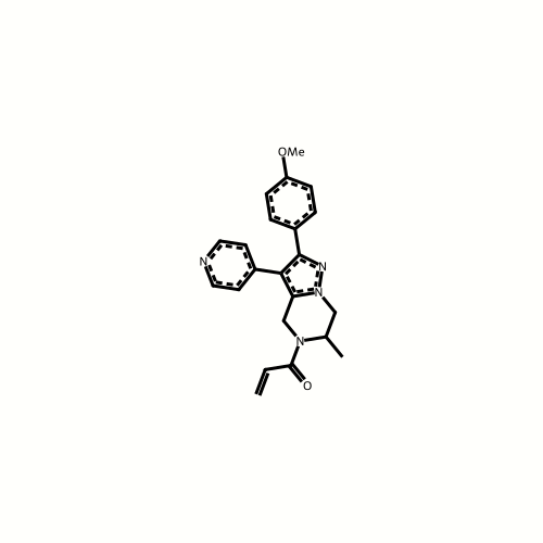 C=CC(=O)N1Cc2c(-c3ccncc3)c(-c3ccc(OC)cc3)nn2CC1C